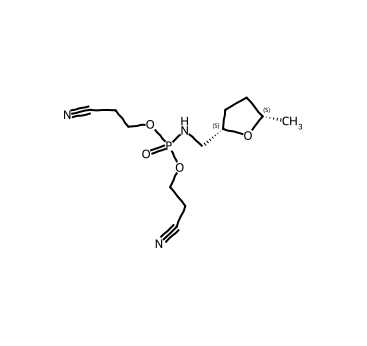 C[C@H]1CC[C@@H](CNP(=O)(OCCC#N)OCCC#N)O1